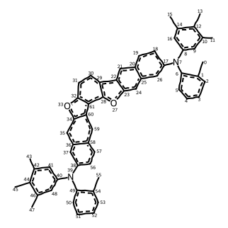 Cc1ccccc1N(c1cc(C)c(C)c(C)c1)c1ccc2cc3c(cc2c1)oc1c3ccc2oc3cc4cc(N(c5cc(C)c(C)c(C)c5)c5ccccc5C)ccc4cc3c21